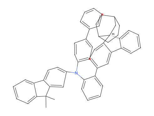 CC1(C)c2ccccc2-c2ccc(N(c3ccc(-c4ccccc4)cc3)c3ccccc3-c3ccc4c(c3)-c3ccccc3[C@]43CC4CCCC3CC4)cc21